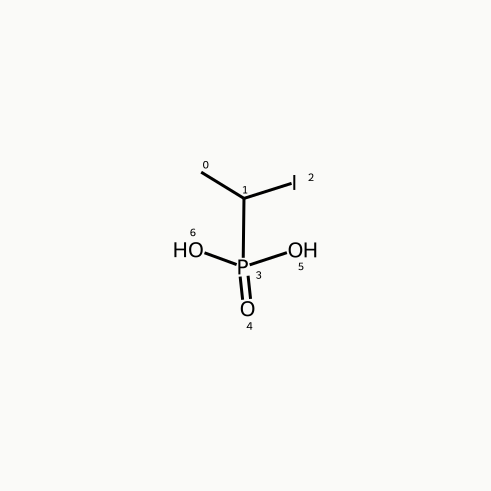 CC(I)P(=O)(O)O